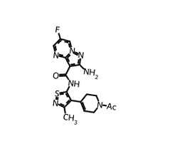 CC(=O)N1CC=C(c2c(C)nsc2NC(=O)c2c(N)nn3cc(F)cnc23)CC1